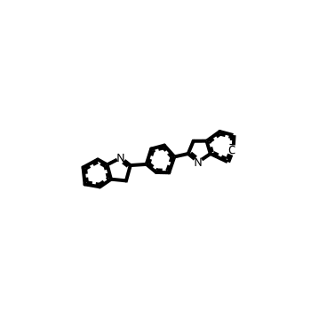 c1ccc2c(c1)CC(c1ccc(C3=Nc4ccccc4C3)cc1)=N2